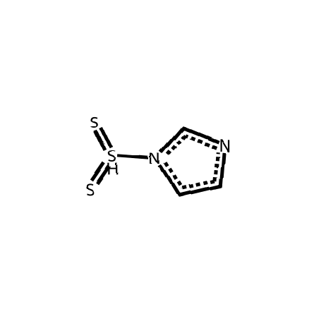 S=[SH](=S)n1ccnc1